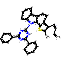 C=C/C=C\c1c(C)sc2c1ccc1c3ccccc3n(-c3nc(-c4ccccc4)nc(-c4ccccc4)n3)c12